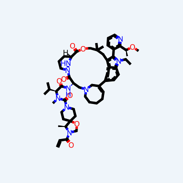 C=CC(=O)N1COC2(CCN(C(=O)N(C)[C@H](C(=O)N[C@H]3CN4CCCC/C=C(\C4)c4ccc5c(c4)c(c(-c4cccnc4[C@H](C)OC)n5CC)CC(C)(C)COC(=O)[C@@H]4CCCN(N4)C3=O)C(C)C)CC2)[C@@H]1C